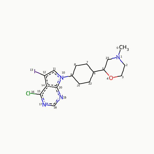 CN1CCOC(C2CCC(n3cc(I)c4c(Cl)ncnc43)CC2)C1